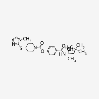 Cn1ccnc1SC1CCN(C(=O)Oc2ccc(C(=O)NC(C)(C)CC(C)(C)C)cc2)CC1